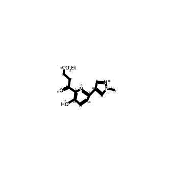 CCOC(=O)CCC(=O)c1nc(-c2cnn(C)c2)ccc1O